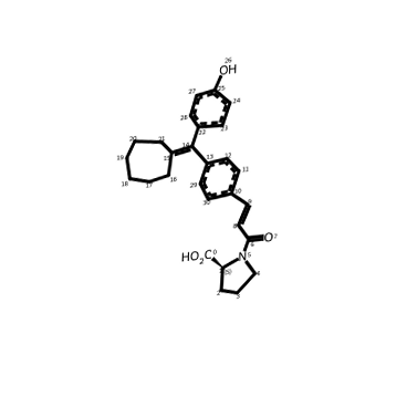 O=C(O)[C@@H]1CCCN1C(=O)C=Cc1ccc(C(=C2CCCCCC2)c2ccc(O)cc2)cc1